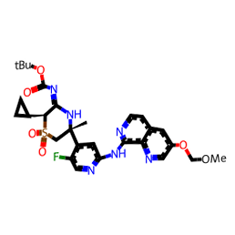 COCOc1cnc2c(Nc3cc([C@]4(C)CS(=O)(=O)[C@@H](C5CC5)/C(=N\C(=O)OC(C)(C)C)N4)c(F)cn3)nccc2c1